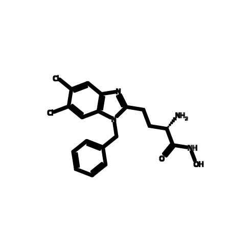 N[C@@H](CCc1nc2cc(Cl)c(Cl)cc2n1Cc1ccccc1)C(=O)NO